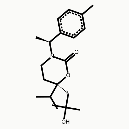 Cc1ccc([C@H](C)N2CC[C@](CC(C)(C)O)(C(C)C)OC2=O)cc1